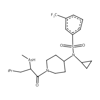 C[AsH]C(CC(C)C)C(=O)N1CCC(N(C2CC2)S(=O)(=O)c2cccc(C(F)(F)F)c2)CC1